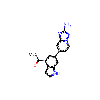 COC(=O)c1cc(-c2ccn3nc(N)nc3c2)cc2[nH]ccc12